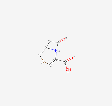 O=C(O)C1=CSCC2CC(=O)N12